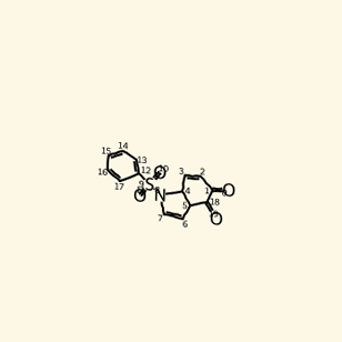 O=C1C=CC2C(C=CN2S(=O)(=O)c2ccccc2)C1=O